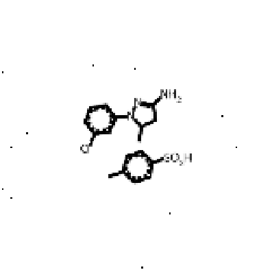 CC1CC(N)=NN1c1cccc(Cl)c1.Cc1ccc(S(=O)(=O)O)cc1